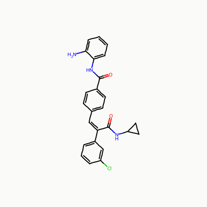 Nc1ccccc1NC(=O)c1ccc(/C=C(\C(=O)NC2CC2)c2cccc(Cl)c2)cc1